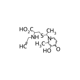 C#CCNC(CSC(C)n1ccc(=O)c(O)c1C)C(=O)O